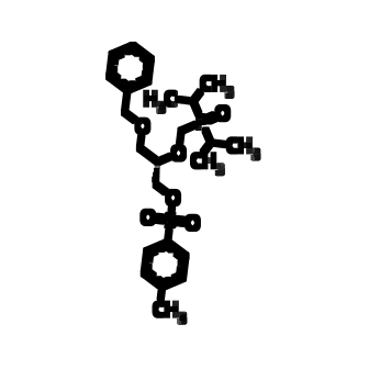 Cc1ccc(S(=O)(=O)OC[C@H](COCc2ccccc2)OCP(=O)(C(C)C)C(C)C)cc1